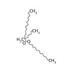 CCCCCCCCCCCCOC(=O)C(C)(CCCCC)CCCCCCCCCCCC